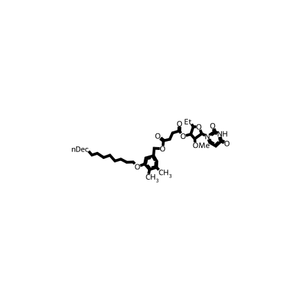 CCCCCCCCCCCCCCCCCCOc1cc(COC(=O)CCC(=O)OC2C(CC)OC(n3ccc(=O)[nH]c3=O)C2OC)cc(C)c1C